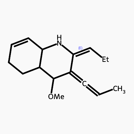 CC=C=C1/C(=C\CC)NC2C=CCCC2C1OC